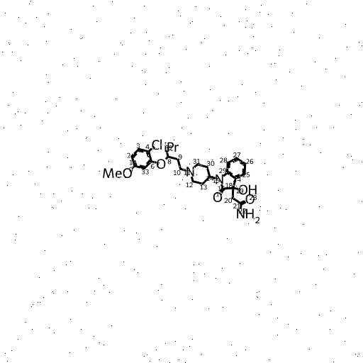 COc1ccc(Cl)c(OC(CCN2CCC(N3C(=O)C(O)(CC(N)=O)c4ccccc43)CC2)C(C)C)c1